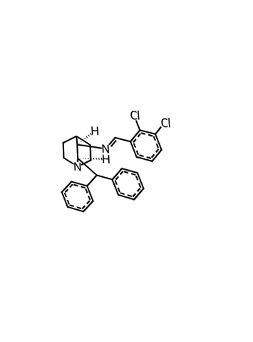 Clc1cccc(C=N[C@@H]2C3CCN(CC3)[C@@H]2C(c2ccccc2)c2ccccc2)c1Cl